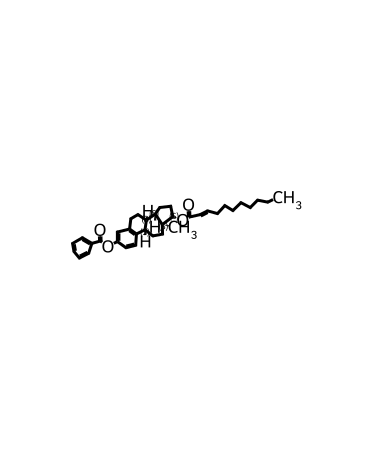 CCCCCCCCC=CC(=O)O[C@H]1CC[C@H]2[C@@H]3CCc4cc(OC(=O)c5ccccc5)ccc4[C@H]3CC[C@]12C